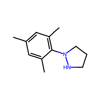 Cc1cc(C)c(N2CCCN2)c(C)c1